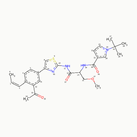 C/C=C\c1ccc(-c2csc(NC(=O)C(COC)NC(=O)c3ccn(C(C)(C)C)c3)n2)cc1C(C)=O